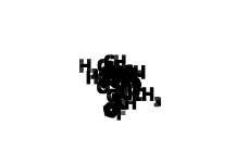 CC(C)(C)OC(=O)NC1(C(=O)O)CC(NC(=O)Nc2ccccc2F)C2C(C(=O)O)C21.CCCC